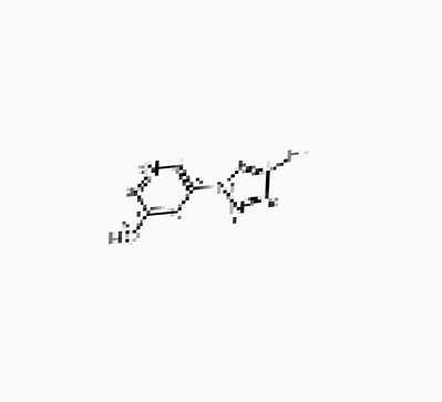 Oc1cncc(-n2cc(F)cn2)c1